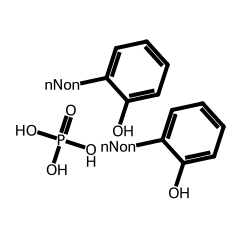 CCCCCCCCCc1ccccc1O.CCCCCCCCCc1ccccc1O.O=P(O)(O)O